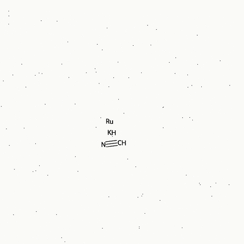 C#N.[KH].[Ru]